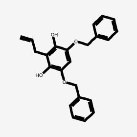 C=CCc1c(O)c(OCc2ccccc2)cc(OCc2ccccc2)c1O